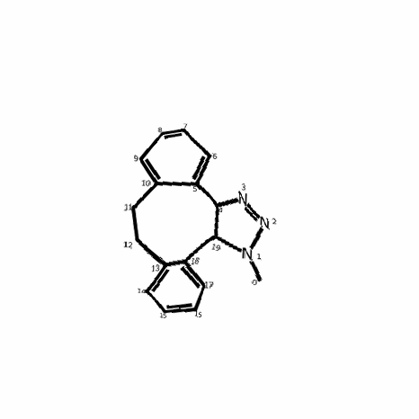 CN1N=NC2c3ccccc3CCc3ccccc3C21